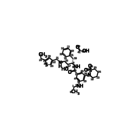 CCNc1cc(C(=O)N[C@@H](Cc2ccccc2)[C@H](O)CNCc2csc(CC)c2)cc(N2CCCCS2(=O)=O)c1.O=CO